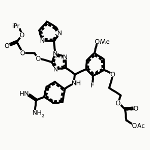 COc1cc(OCCOC(=O)COC(C)=O)c(F)c(C(Nc2ccc(C(=N)N)cc2)c2nc(OCOC(=O)OC(C)C)n(-c3ncccn3)n2)c1